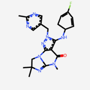 Cc1ncc(Cn2nc3c(c2NC2C=CC(F)=CC2)C(=O)N(C)C2=NC(C)(C)CN23)cn1